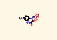 Cc1ccc2c(c1)[nH]c(=O)c(=O)n2CP(=O)(O)O